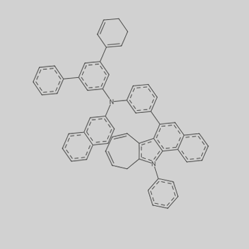 C1=CCc2c(c3c(-c4cccc(N(c5cc(C6=CCCC=C6)cc(-c6ccccc6)c5)c5ccc6ccccc6c5)c4)cc4ccccc4c3n2-c2ccccc2)C=C1